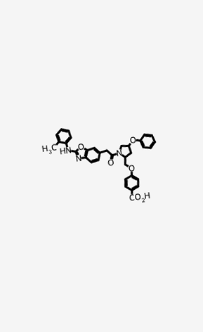 Cc1ccccc1Nc1nc2ccc(CC(=O)N3CC(Oc4ccccc4)CC3COc3ccc(C(=O)O)cc3)cc2o1